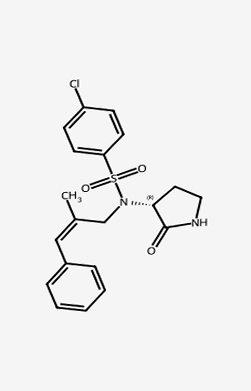 CC(=Cc1ccccc1)CN([C@@H]1CCNC1=O)S(=O)(=O)c1ccc(Cl)cc1